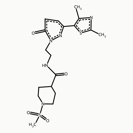 Cc1nc(C)c(-c2ccc(=O)n(CCNC(=O)C3CCN(S(C)(=O)=O)CC3)n2)s1